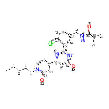 CCCCCn1ccc(-c2cc(=O)[nH]c(-c3cc(CNC(=O)C(C)C)ccc3Cl)n2)cc1=O